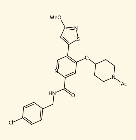 COc1cc(-c2cnc(C(=O)NCc3ccc(Cl)cc3)cc2OC2CCN(C(C)=O)CC2)sn1